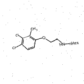 CCCCCCNCCOc1ccc(Cl)c(Cl)c1C